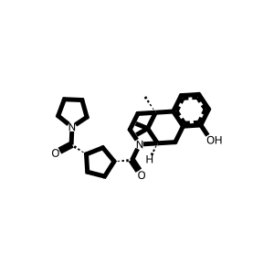 CC1(C)[C@H]2Cc3c(O)cccc3[C@]1(C)CCN2C(=O)[C@@H]1CC[C@H](C(=O)N2CCCC2)C1